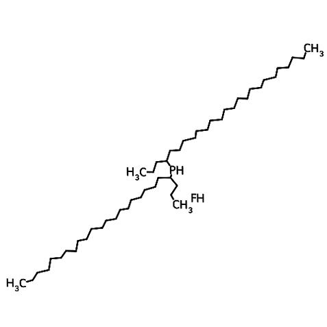 CCCCCCCCCCCCCCCCCCCCCC(CCC)PC(CCC)CCCCCCCCCCCCCCCCCCCCC.F